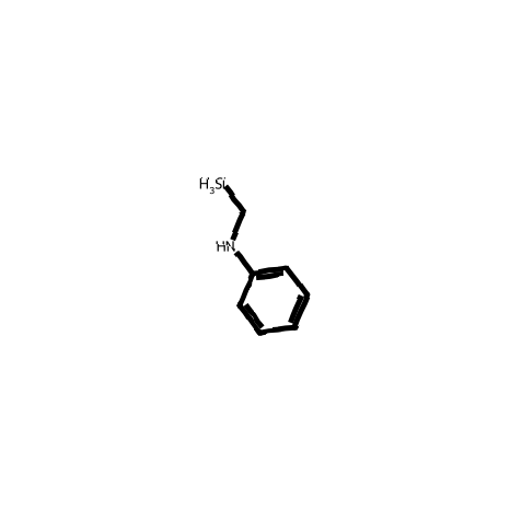 [SiH3]CNc1ccccc1